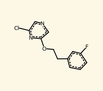 Fc1cccc(CCOc2cncc(Cl)n2)c1